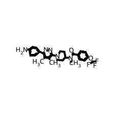 Cc1c(-c2ccc(N)cc2)nnc(N2CCC(N(C)C(=O)c3ccc(OC(F)(F)F)cc3)CC2)c1C